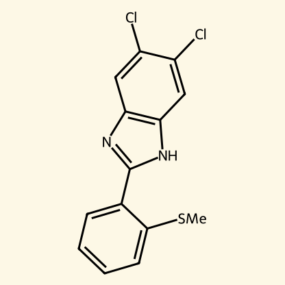 CSc1ccccc1-c1nc2cc(Cl)c(Cl)cc2[nH]1